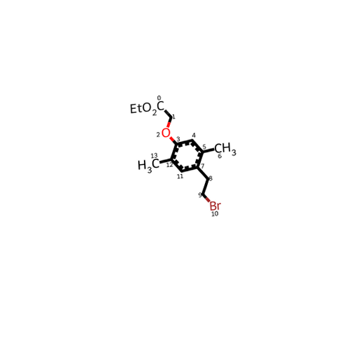 CCOC(=O)COc1cc(C)c(CCBr)cc1C